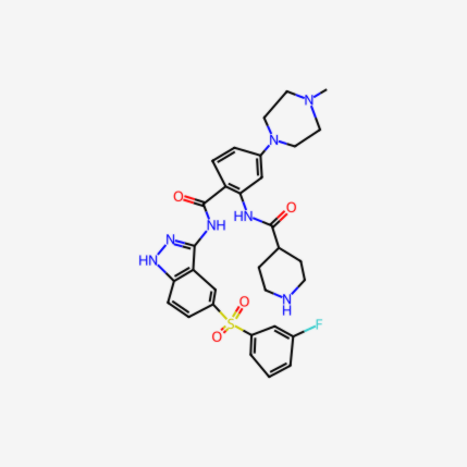 CN1CCN(c2ccc(C(=O)Nc3n[nH]c4ccc(S(=O)(=O)c5cccc(F)c5)cc34)c(NC(=O)C3CCNCC3)c2)CC1